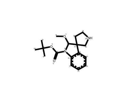 COC1N(C(=O)OC(C)(C)C)c2ccccc2C12CCNC2